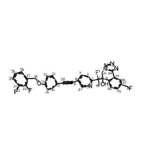 OC1(C(F)(F)c2ccc(C#Cc3ccc(OCc4cccc(F)c4F)cc3)cn2)Cn2nnnc2-c2cc(F)ccc21